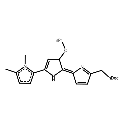 CCCCCCCCCCCC1=NC(=C2NC(c3ccc(C)n3C)=CC2OCCC)C=C1